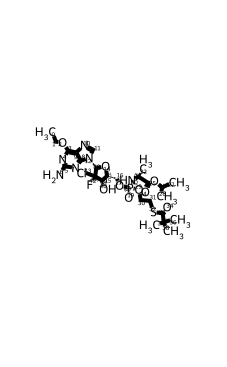 CCOc1nc(N)nc2c1ncn2[C@@H]1O[C@H](CO[P@@](=O)(N[C@@H](C)C(=O)OC(C)C)OCCSC(=O)C(C)(C)C)[C@@H](O)[C@]1(F)Cl